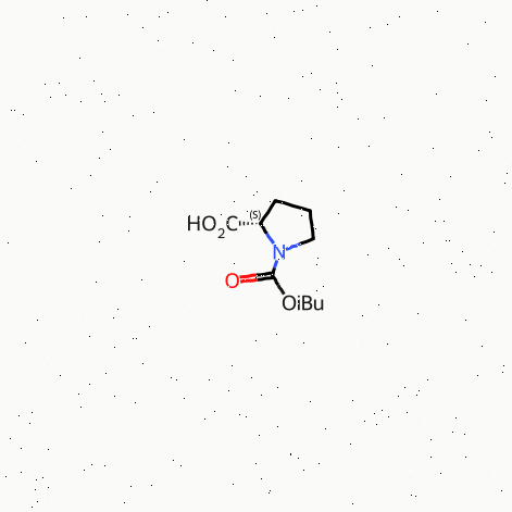 CC(C)COC(=O)N1CCC[C@H]1C(=O)O